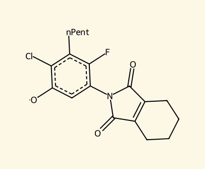 CCCCCc1c(F)c(N2C(=O)C3=C(CCCC3)C2=O)cc([O])c1Cl